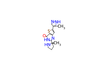 Cc1[nH]ncc1-c1cc2nc([C@]3(C)CCCN3)[nH]c(=O)c2s1